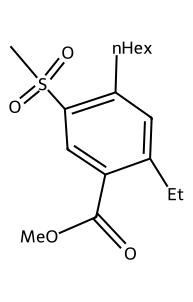 CCCCCCc1cc(CC)c(C(=O)OC)cc1S(C)(=O)=O